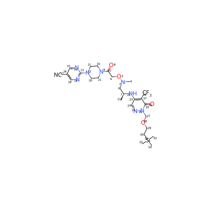 C[C@@H](CN(C)OCC(=O)N1CCN(c2ncc(C#N)cn2)CC1)Nc1cnn(COCC[Si](C)(C)C)c(=O)c1C(F)(F)F